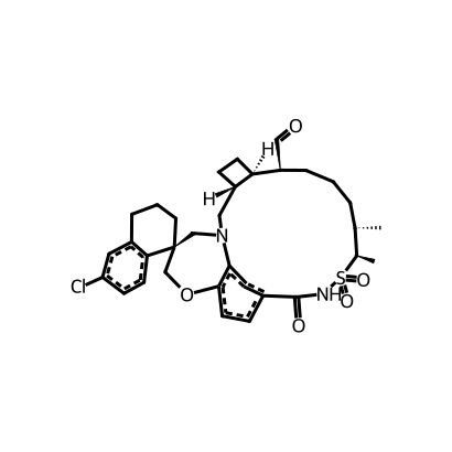 C[C@@H]1[C@@H](C)CCC[C@H](C=O)[C@@H]2CC[C@H]2CN2C[C@@]3(CCCc4cc(Cl)ccc43)COc3ccc(cc32)C(=O)NS1(=O)=O